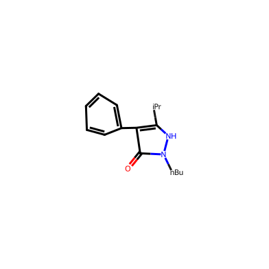 CCCCn1[nH]c(C(C)C)c(-c2ccccc2)c1=O